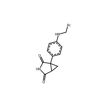 CC(=O)CNc1ccc(C23CC2C(=O)NC3=O)cc1